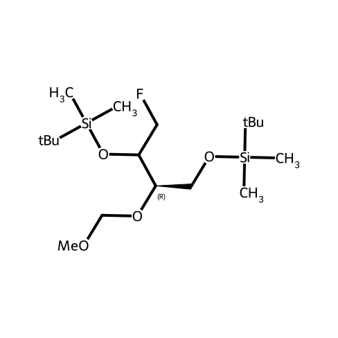 COCO[C@H](CO[Si](C)(C)C(C)(C)C)C(CF)O[Si](C)(C)C(C)(C)C